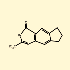 O=C(O)c1nc2cc3c(cc2c(=O)[nH]1)CCC3